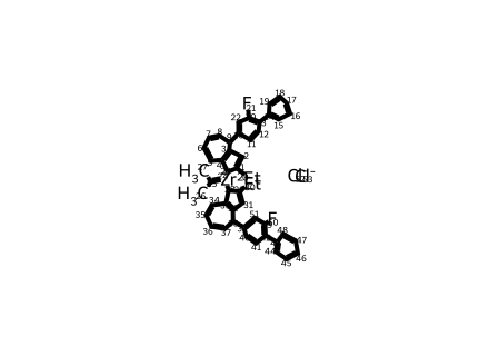 CCC1=CC2=C(C=CC=CC2c2ccc(-c3ccccc3)c(F)c2)[CH]1[Zr+2](=[C](C)C)[CH]1C(CC)=CC2=C1C=CC=CC2c1ccc(-c2ccccc2)c(F)c1.[Cl-].[Cl-]